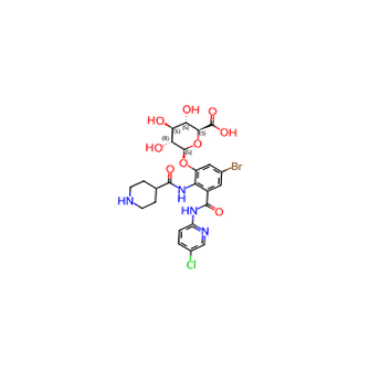 O=C(Nc1ccc(Cl)cn1)c1cc(Br)cc(O[C@@H]2O[C@H](C(=O)O)[C@@H](O)[C@H](O)[C@H]2O)c1NC(=O)C1CCNCC1